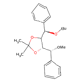 CO[C@H](c1ccccc1)[C@@H]1OC(C)(C)OC1[C@H](OC(C)(C)C)c1ccccc1